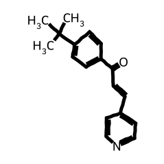 CC(C)(C)c1ccc(C(=O)C=Cc2ccncc2)cc1